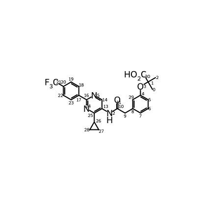 CC(C)(Oc1cccc(CC(=O)Nc2cnc(-c3ccc(C(F)(F)F)cc3)nc2C2CC2)c1)C(=O)O